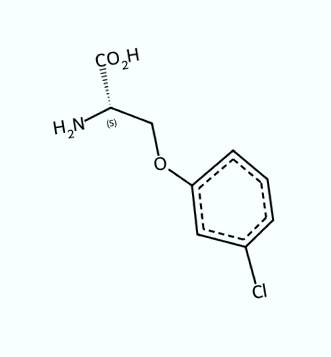 N[C@@H](COc1cccc(Cl)c1)C(=O)O